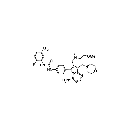 COCCN(C)Cc1c(-c2ccc(NC(=O)Nc3cc(C(F)(F)F)ccc3F)cc2)c2c(N)ncnn2c1CN1CCOCC1